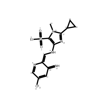 CCS(=O)(=O)c1c(N/C=C2/N=CC(C(F)(F)F)=CC2=N)nc(C2CC2)n1C